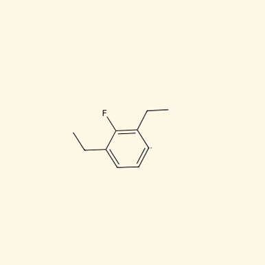 CCc1[c]ccc(CC)c1F